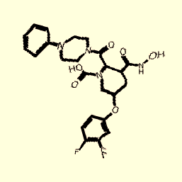 O=C(NO)C1CC(Oc2ccc(F)c(F)c2)CN(C(=O)O)C1C(=O)N1CCN(c2ccccc2)CC1